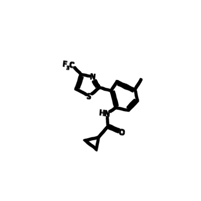 Cc1ccc(NC(=O)C2CC2)c(-c2nc(C(F)(F)F)cs2)c1